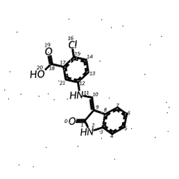 O=C1Nc2ccccc2C1=CNc1ccc(Cl)c(C(=O)O)c1